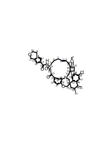 CO[C@H]1/C=C/CCC[S@@](=O)(NC(=O)c2cc3n(c2)CCOC3)=NC(=O)c2ccc3c(c2)N(C[C@@H]2CC[C@H]21)C[C@]1(CO3)C[C@H](C)[C@H](C)c2cc(Cl)ccc21